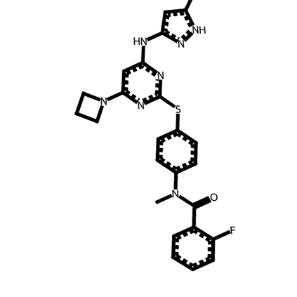 Cc1cc(Nc2cc(N3CCC3)nc(Sc3ccc(N(C)C(=O)c4ccccc4F)cc3)n2)n[nH]1